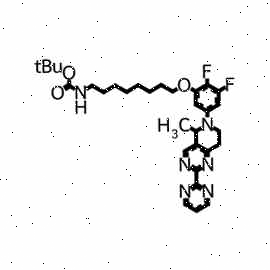 CC1c2cnc(-c3ncccn3)nc2CCN1c1cc(F)c(F)c(OCCCCCCCCNC(=O)OC(C)(C)C)c1